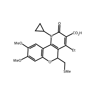 CCc1c2c(n(C3CC3)c(=O)c1C(=O)O)-c1cc(OC)c(OC)cc1OC2CSC